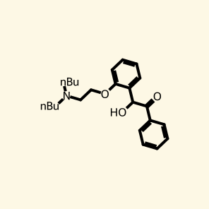 CCCCN(CCCC)CCOc1ccccc1C(O)C(=O)c1ccccc1